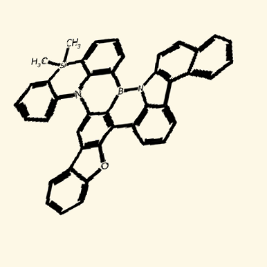 C[Si]1(C)c2ccccc2N2c3cc4c(oc5ccccc54)c4c3B(c3cccc1c32)n1c2ccc3ccccc3c2c2cccc-4c21